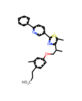 Cc1cc(OCC(C)c2nc(-c3ccc(-c4ccccc4)nc3)sc2C)ccc1CCC(=O)O